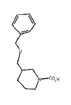 O=C(O)N1CCCC(COCc2ccccc2)C1